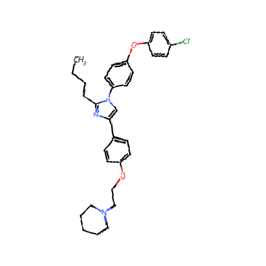 CCCCc1nc(-c2ccc(OCCN3CCCCC3)cc2)cn1-c1ccc(Oc2ccc(Cl)cc2)cc1